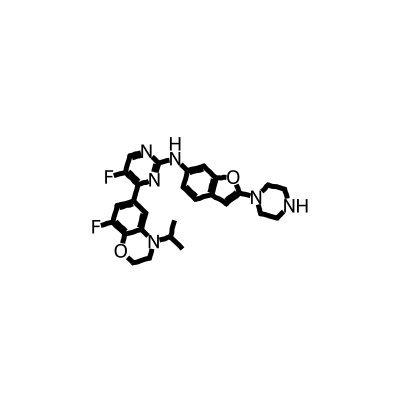 CC(C)N1CCOc2c(F)cc(-c3nc(Nc4ccc5cc(N6CCNCC6)oc5c4)ncc3F)cc21